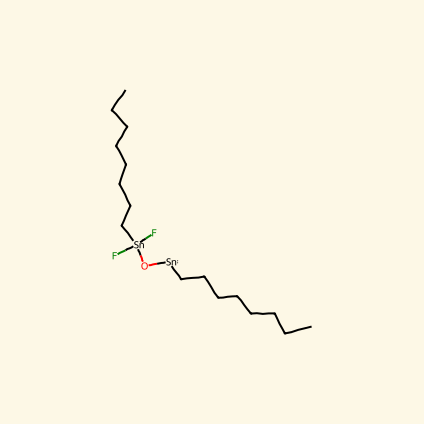 CCCCCCC[CH2][Sn][O][Sn]([F])([F])[CH2]CCCCCCC